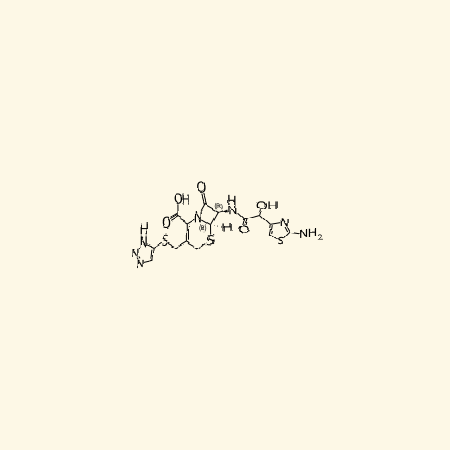 Nc1nc(C(O)C(=O)N[C@@H]2C(=O)N3C(C(=O)O)=C(CSc4cnn[nH]4)CS[C@H]23)cs1